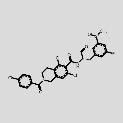 C[S+]([O-])c1cc(F)cc(C[C@@H](C=O)NC(=O)c2c(Cl)cc3c(c2Cl)CCN(C(=O)c2ccc(Cl)cc2)C3)c1